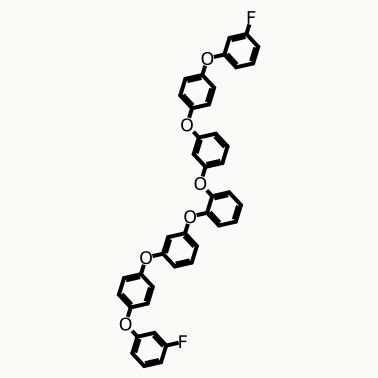 Fc1cccc(Oc2ccc(Oc3cccc(Oc4ccccc4Oc4cccc(Oc5ccc(Oc6cccc(F)c6)cc5)c4)c3)cc2)c1